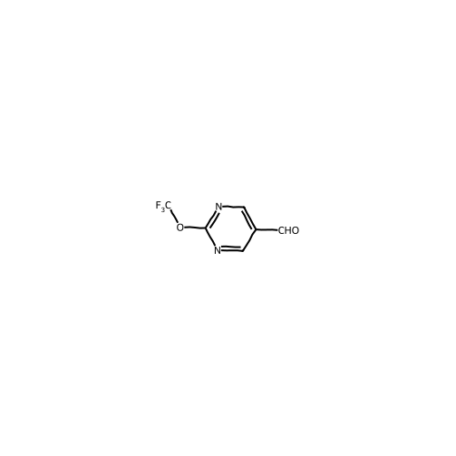 O=Cc1cnc(OC(F)(F)F)nc1